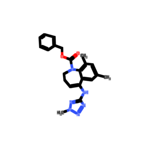 Cc1cc(C)c2c(c1)C(Nc1nnn(C)n1)=CCCN2C(=O)OCc1ccccc1